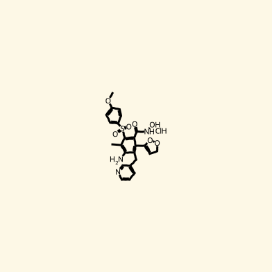 COc1ccc(S(=O)(=O)c2c(C)c(N)c(Cc3cccnc3)c(C3=CCOO3)c2C(=O)NO)cc1.Cl